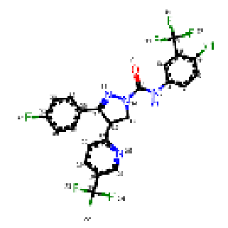 O=C(Nc1ccc(Cl)c(C(F)(F)F)c1)N1CC(c2ccc(C(F)(F)F)cn2)C(c2ccc(F)cc2)=N1